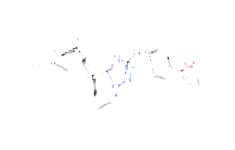 Cc1cccc(-c2cccn3nc(Nc4ccc(C(N)=O)cc4)nc23)c1